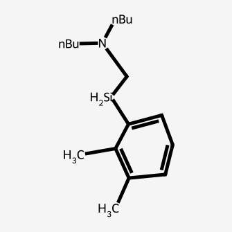 CCCCN(CCCC)C[SiH2]c1cccc(C)c1C